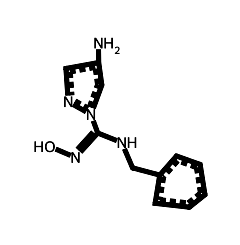 Nc1cnn(C(=NO)NCc2ccccc2)c1